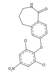 O=C1NCCCc2cc(Oc3c(Cl)cc([N+](=O)[O-])cc3Cl)ccc21